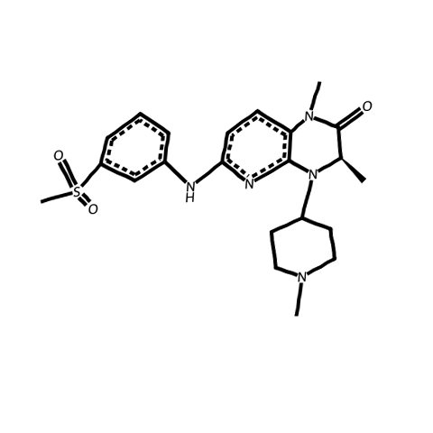 C[C@@H]1C(=O)N(C)c2ccc(Nc3cccc(S(C)(=O)=O)c3)nc2N1C1CCN(C)CC1